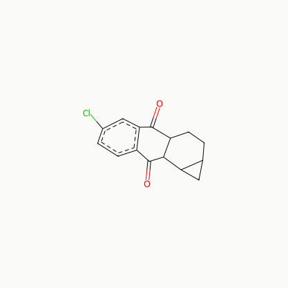 O=C1c2cc(Cl)ccc2C(=O)C2C1CCC1CC12